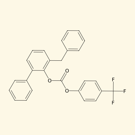 O=C(Oc1ccc(C(F)(F)F)cc1)Oc1c(Cc2ccccc2)cccc1-c1ccccc1